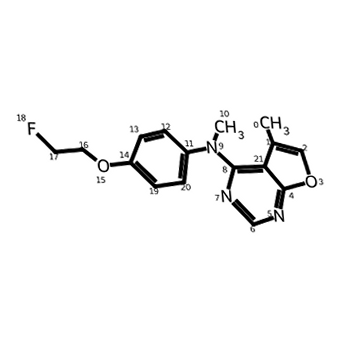 Cc1coc2ncnc(N(C)c3ccc(OCCF)cc3)c12